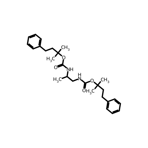 CC(CNC(=O)OC(C)(C)CCc1ccccc1)NC(=O)OC(C)(C)CCc1ccccc1